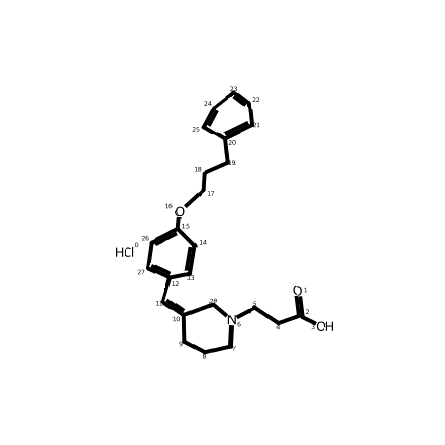 Cl.O=C(O)CCN1CCCC(=Cc2ccc(OCCCc3ccccc3)cc2)C1